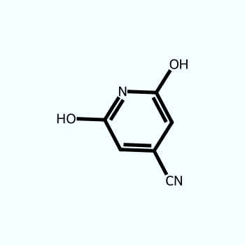 N#Cc1cc(O)nc(O)c1